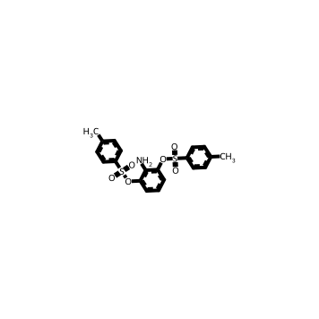 Cc1ccc(S(=O)(=O)Oc2cccc(OS(=O)(=O)c3ccc(C)cc3)c2N)cc1